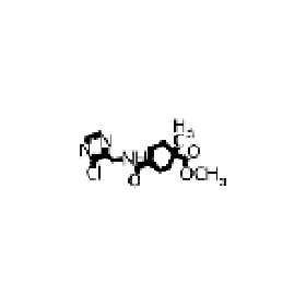 COC(=O)C1(C)CCC(C(=O)NCc2nccnc2Cl)CC1